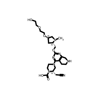 CN1C[C@H](OCCOCCO)C[C@H]1COc1nc2c(c(N3CCN(C(=O)O)[C@@H](CC#N)C3)n1)CCNC2